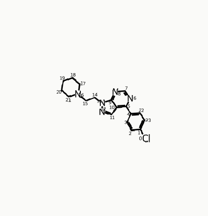 Clc1ccc(-c2ncnc3c2cnn3CCN2CCCCC2)cc1